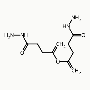 C=C(CCC(=O)NN)OC(=C)CCC(=O)NN